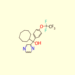 OC(c1ccc(OC(F)(F)C(F)(F)F)cc1)(c1cnccn1)C1CCCCCCC1